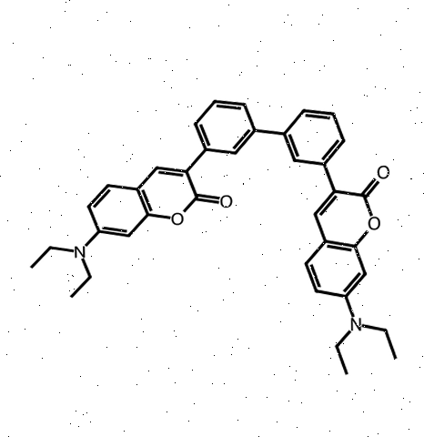 CCN(CC)c1ccc2cc(-c3cccc(-c4cccc(-c5cc6ccc(N(CC)CC)cc6oc5=O)c4)c3)c(=O)oc2c1